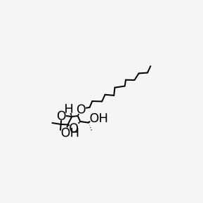 CCCCCCCCCCCCO[C@H]1[C@@H]([C@@H](C)O)OC2(O)[C@@H]1OC2(C)C